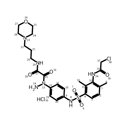 Cc1ccc(S(=O)(=O)Nc2ccc(N(N)C(=O)C(=O)NCCCN3CCOCC3)cc2)c(C)c1NC(=O)CCl.Cl